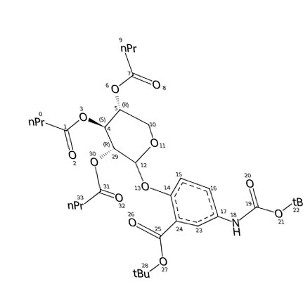 CCCC(=O)O[C@H]1[C@H](OC(=O)CCC)COC(Oc2ccc(NC(=O)OC(C)(C)C)cc2C(=O)OC(C)(C)C)[C@@H]1OC(=O)CCC